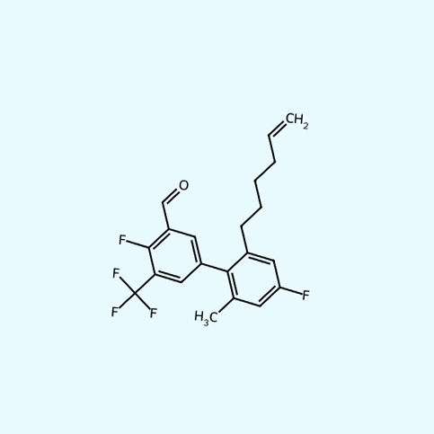 C=CCCCCc1cc(F)cc(C)c1-c1cc(C=O)c(F)c(C(F)(F)F)c1